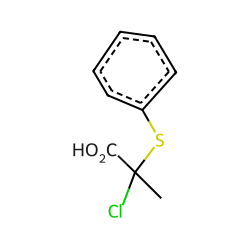 CC(Cl)(Sc1ccccc1)C(=O)O